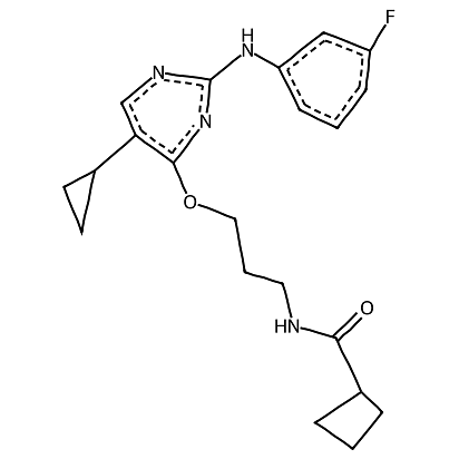 O=C(NCCCOc1nc(Nc2cccc(F)c2)ncc1C1CC1)C1CCC1